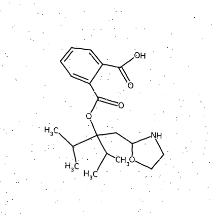 CC(C)C(CC1NCCO1)(OC(=O)c1ccccc1C(=O)O)C(C)C